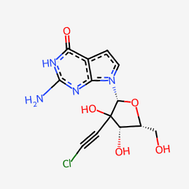 Nc1nc2c(ccn2[C@@H]2O[C@H](CO)[C@H](O)C2(O)C#CCl)c(=O)[nH]1